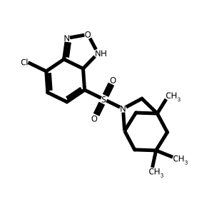 CC1(C)CC2CC(C)(CN2S(=O)(=O)C2=CC=C(Cl)C3=NONC23)C1